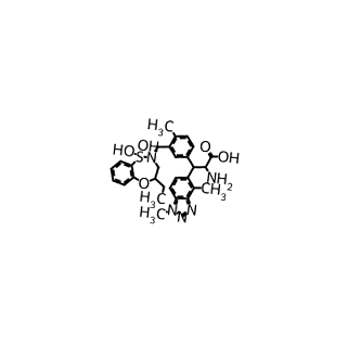 CCC1CN(Cc2cc(C(c3ccc4c(nnn4C)c3C)C(N)C(=O)O)ccc2C)S(O)(O)c2ccccc2O1